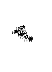 CC(C)(C)OC(=O)NC(CN1C[C@@H]2CC1C(=O)N2c1ccc(-c2nnn[nH]2)cc1)C(=O)N1C(C#N)C[C@@H]2C[C@@H]21